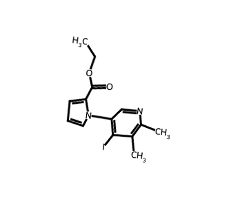 CCOC(=O)c1cccn1-c1cnc(C)c(C)c1I